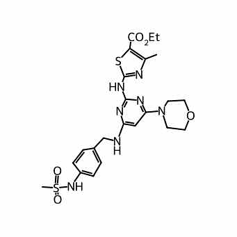 CCOC(=O)c1sc(Nc2nc(NCc3ccc(NS(C)(=O)=O)cc3)cc(N3CCOCC3)n2)nc1C